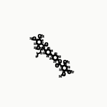 CCCCN(C(=O)c1cc(OC)c(OC)cc1OC)c1ccc(-c2ccc(OC(=O)c3cc(OC)c(OC)cc3OC)cc2)cc1